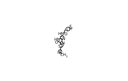 Cn1cc(-c2cn3nc4c5ncc(NC(=O)CN6CCC(F)(F)CC6)cc5[nH]c(=O)c4c3s2)cn1